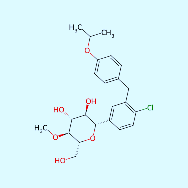 CO[C@H]1[C@H](O)[C@@H](O)[C@H](c2ccc(Cl)c(Cc3ccc(OC(C)C)cc3)c2)O[C@@H]1CO